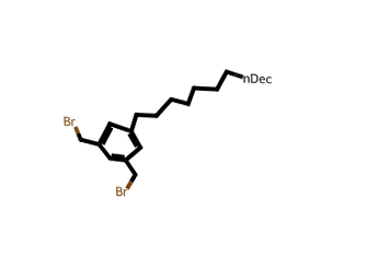 CCCCCCCCCCCCCCCCCc1cc(CBr)cc(CBr)c1